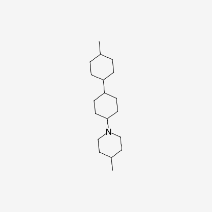 CC1CCC(C2CCC(N3CCC(C)CC3)CC2)CC1